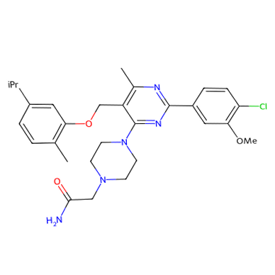 COc1cc(-c2nc(C)c(COc3cc(C(C)C)ccc3C)c(N3CCN(CC(N)=O)CC3)n2)ccc1Cl